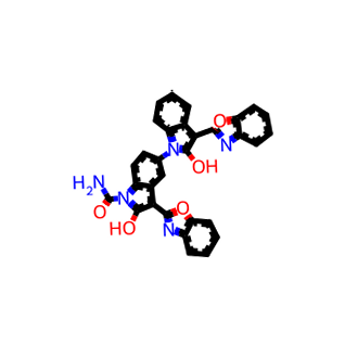 NC(=O)n1c(O)c(-c2nc3ccccc3o2)c2cc(-n3c(O)c(-c4nc5ccccc5o4)c4c[c]ccc43)ccc21